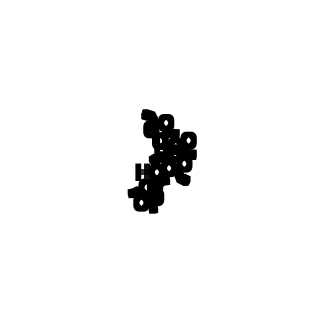 C=CC(=O)O.C=CC(=O)OC(=O)C=C.C=CC(=O)OC(C)=O.CC(=O)O.CC(=O)OC(C)=O